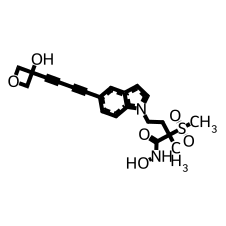 CC(CCn1ccc2cc(C#CC#CC3(O)COC3)ccc21)(C(=O)NO)S(C)(=O)=O